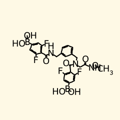 CONC(=O)CN(Cc1cccc(CNC(=O)c2c(F)cc(B(O)O)cc2F)c1)C(=O)c1c(F)cc(B(O)O)cc1F